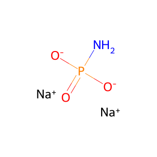 NP(=O)([O-])[O-].[Na+].[Na+]